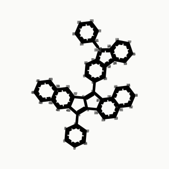 c1ccc(C2=C3C(=C(c4ccc5c(c4)c4ccccc4n5-c4ccccc4)c4c3ccc3ccccc43)c3cc4ccccc4cc32)cc1